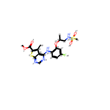 COC(=O)c1sc2ncnc(Nc3ccc(F)cc3OC(C)CNS(C)(=O)=O)c2c1C